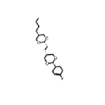 CCCC[C@H]1CO[C@H](CC[C@H]2CO[C@H](C3CC=C(F)CC3)OC2)OC1